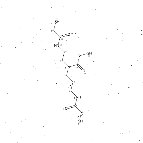 O=C(CS)NCCCN(CCNC(=O)CS)C(=O)CS